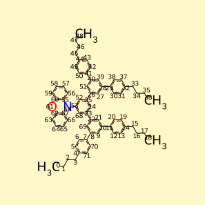 CCCCc1ccc(-c2cc(-c3ccc(CCCC)cc3)cc(-c3cc(-c4cc(-c5ccc(CCCC)cc5)cc(-c5ccc(CCCC)cc5)c4)cc(N4c5ccccc5Oc5ccccc54)c3)c2)cc1